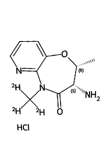 Cl.[2H]C([2H])([2H])N1C(=O)[C@@H](N)[C@@H](C)Oc2cccnc21